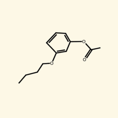 CCCCOc1cccc(OC(C)=O)c1